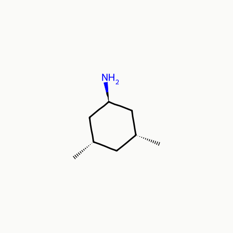 C[C@@H]1C[C@H](C)C[C@@H](N)C1